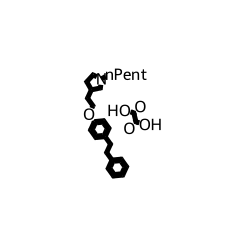 CCCCCN1CCC(CCOc2ccc(CCc3ccccc3)cc2)C1.O=C(O)C(=O)O